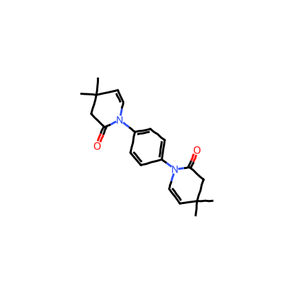 CC1(C)C=CN(c2ccc(N3C=CC(C)(C)CC3=O)cc2)C(=O)C1